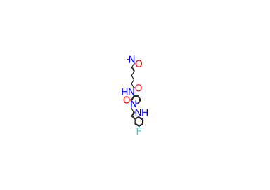 CN(C)C(=O)/C=C/CCCC(=O)Nc1cccn(Cc2cc3cc(F)ccc3[nH]2)c1=O